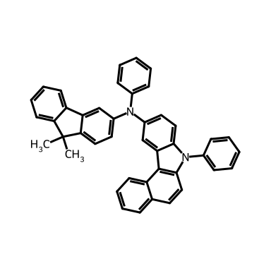 CC1(C)c2ccccc2-c2cc(N(c3ccccc3)c3ccc4c(c3)c3c5ccccc5ccc3n4-c3ccccc3)ccc21